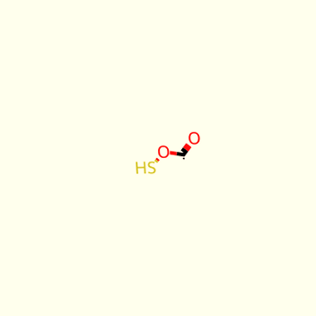 O=[C]OS